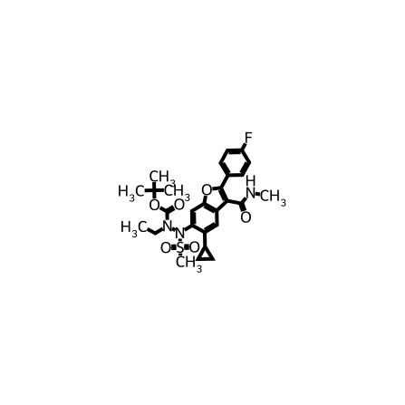 CCN(C(=O)OC(C)(C)C)N(c1cc2oc(-c3ccc(F)cc3)c(C(=O)NC)c2cc1C1CC1)S(C)(=O)=O